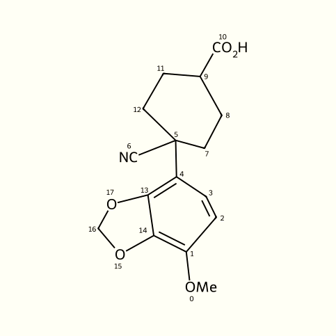 COc1ccc(C2(C#N)CCC(C(=O)O)CC2)c2c1OCO2